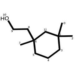 CC1(C)CCCC(C)(CCO)C1